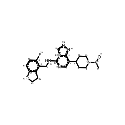 C[S+]([O-])N1CCC(c2cnc(NCc3c(F)ccc4c3CCO4)n3cnnc23)CC1